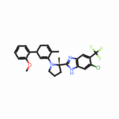 COc1ccccc1C1[C]=C(N2CCC[C@@]2(C)c2nc3cc(C(F)(F)F)c(Cl)cc3[nH]2)C(C)=CC1